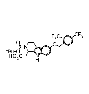 CC(C)(C)OC(=O)N1CCc2c([nH]c3ccc(OCc4ccc(C(F)(F)F)cc4C(F)(F)F)cc23)C1CC(=O)O